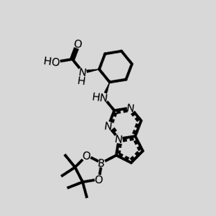 CC1(C)OB(c2ccc3cnc(N[C@@H]4CCCC[C@@H]4NC(=O)O)nn23)OC1(C)C